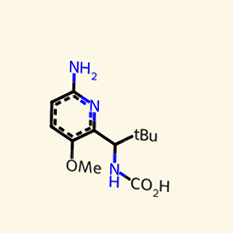 COc1ccc(N)nc1C(NC(=O)O)C(C)(C)C